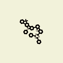 CC1(C)c2ccccc2-c2cc3c(cc21)c1cc(-c2cccc4c2oc2c(-c5nc(-c6ccccc6)nc(-c6ccccc6)n5)cccc24)ccc1n3-c1ccccc1